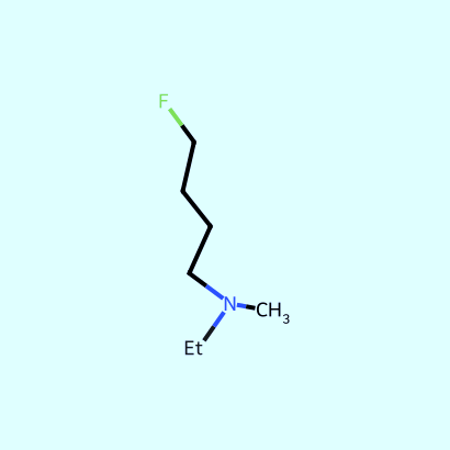 CCN(C)CCCCF